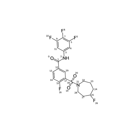 O=C(Nc1cc(F)c(F)c(F)c1)c1ccc(F)c(S(=O)(=O)N2CCCC(F)CC2)c1